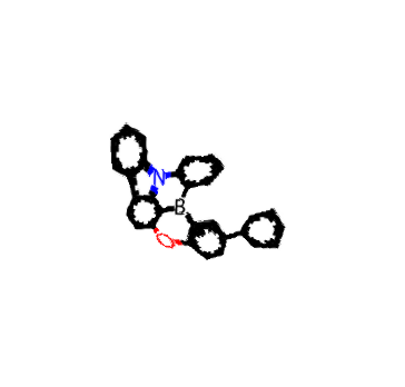 c1ccc(-c2ccc3c(c2)B2c4ccccc4-n4c5ccccc5c5ccc(c2c54)O3)cc1